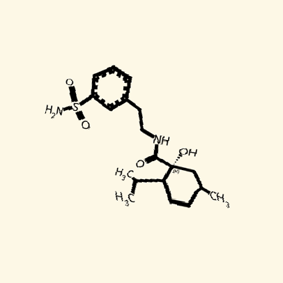 CC1CCC(C(C)C)[C@@](O)(C(=O)NCCc2cccc(S(N)(=O)=O)c2)C1